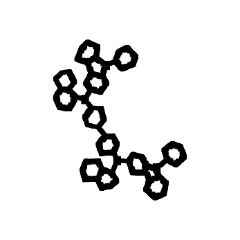 C1=Cc2c(cccc2N(C2=CCC(c3ccc(N(c4ccc5c(c4)c4ccccc4n5-c4ccccc4)c4cccc5ccccc45)cc3)C=C2)c2ccc3c(c2)c2ccccc2n3-c2ccccc2)CC1